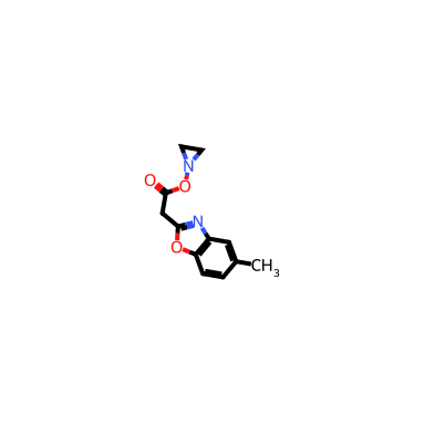 Cc1ccc2oc(CC(=O)ON3CC3)nc2c1